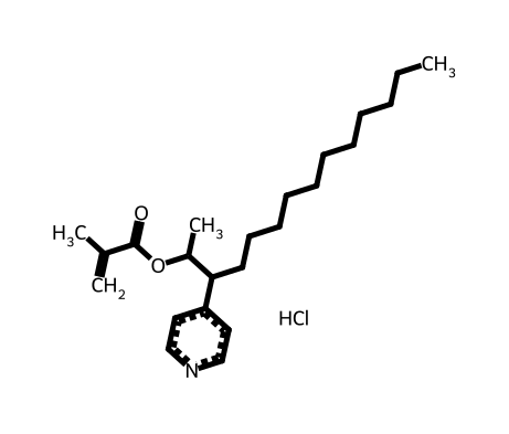 C=C(C)C(=O)OC(C)C(CCCCCCCCCCC)c1ccncc1.Cl